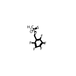 CS(=O)(=S)OCc1c(F)c(F)c(F)c(F)c1F